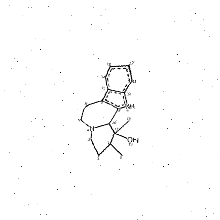 CC1CCN2CCc3c([nH]c4ccccc34)C2C1(C)O